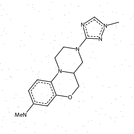 CNc1ccc2c(c1)OCC1CN(c3ncn(C)n3)CCN21